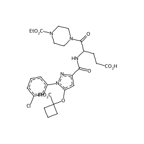 CCOC(=O)N1CCN(C(=O)C(CCC(=O)O)NC(=O)c2cc(OC3(C(=O)OCC)CCC3)n(-c3cccc(Cl)c3)n2)CC1